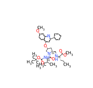 CCC[C@H](NC[C@@H]1CC(Oc2cc(-c3ccccc3)nc3cc(OC)ccc23)CN1C(=O)[C@@H](NC(=O)OC(C)(C)C)C(C)C)C(=O)OC